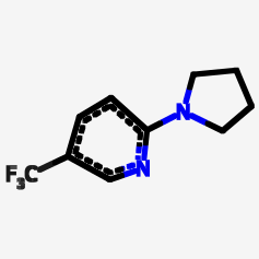 FC(F)(F)c1ccc(N2CCCC2)nc1